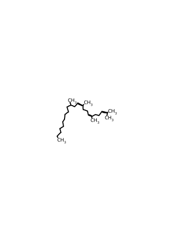 CCCCCCCCCCC(C)CC=C(C)CCC=C(C)CCC=C(C)C